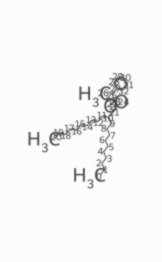 CCCCCCCCCCC(CCCCCCCCCC)COC(=O)C(C)c1ccccc1